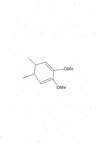 COC1=CC(C)C(C)C=C1OC